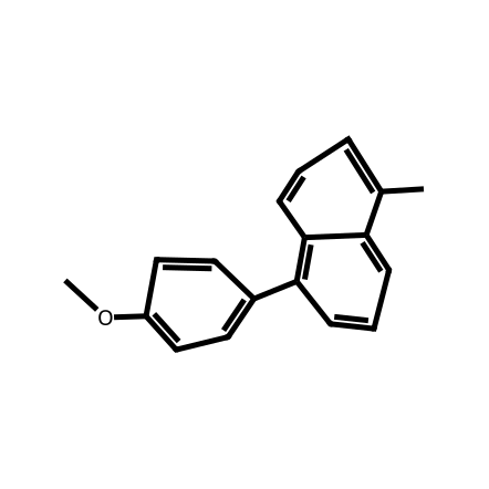 COc1ccc(-c2cccc3c(C)cccc23)cc1